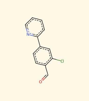 O=Cc1ccc(-c2ccccn2)cc1Cl